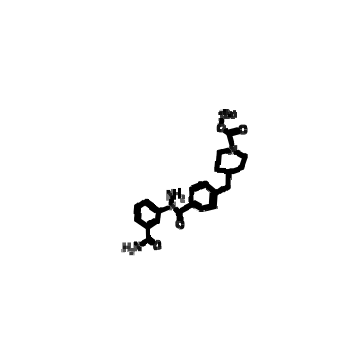 CC(C)(C)OC(=O)N1CCC(Cc2ccc(C(=O)N(N)c3cccc(C(N)=O)c3)cc2)CC1